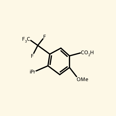 COc1cc(C(C)C)c(C(F)(F)C(F)(F)F)cc1C(=O)O